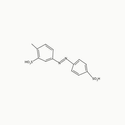 Cc1ccc(/N=N/c2ccc(S(=O)(=O)O)cc2)cc1S(=O)(=O)O